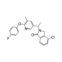 Cc1cc(C(C)N2CC3=C(C=C=C=C3Cl)C2=O)cnc1Oc1ccc(F)cc1